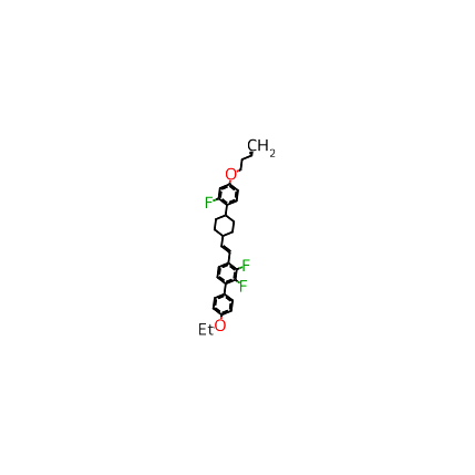 C=CCCOc1ccc(C2CCC(/C=C/c3ccc(-c4ccc(OCC)cc4)c(F)c3F)CC2)c(F)c1